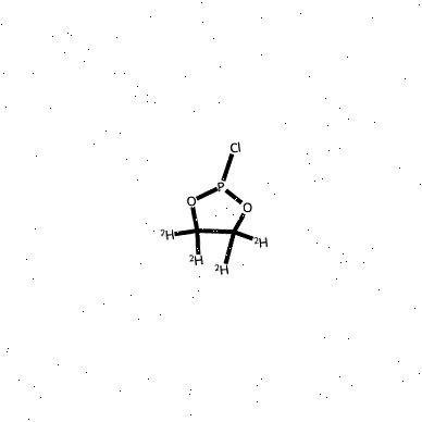 [2H]C1([2H])OP(Cl)OC1([2H])[2H]